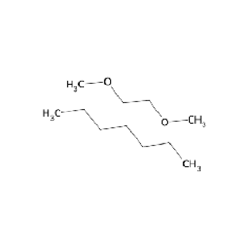 CCCCCCC.COCCOC